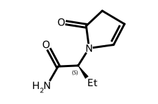 CC[C@@H](C(N)=O)N1C=CCC1=O